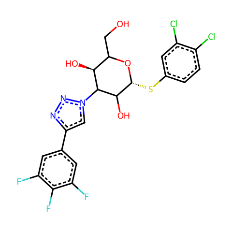 OCC1O[C@H](Sc2ccc(Cl)c(Cl)c2)C(O)C(n2cc(-c3cc(F)c(F)c(F)c3)nn2)[C@H]1O